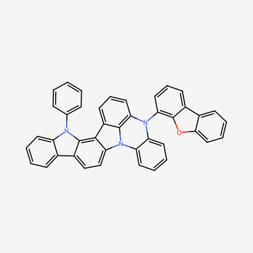 c1ccc(-n2c3ccccc3c3ccc4c(c5cccc6c5n4-c4ccccc4N6c4cccc5c4oc4ccccc45)c32)cc1